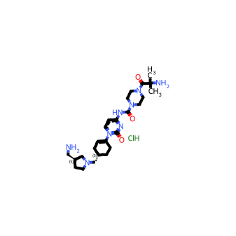 CC(C)(N)C(=O)N1CCN(C(=O)Nc2ccn(C3=CC[C@@H](CN4CC[C@@H](CN)C4)CC3)c(=O)n2)CC1.Cl